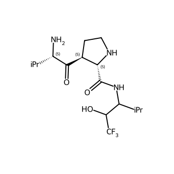 CC(C)C(NC(=O)[C@H]1NCC[C@@H]1C(=O)[C@@H](N)C(C)C)C(O)C(F)(F)F